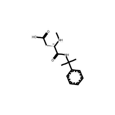 CN[C@@H](CC(=O)O)C(=O)NC(C)(C)c1ccccc1